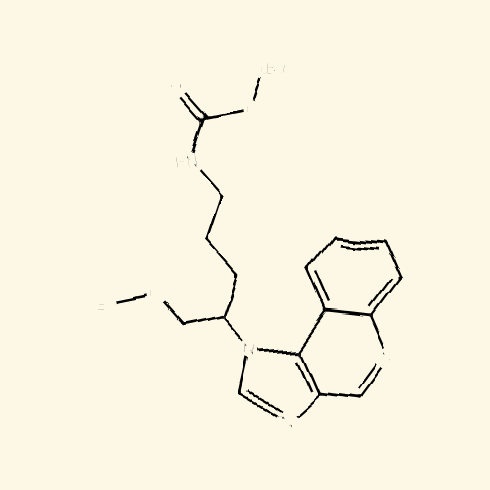 CCOCC(CCCNC(=O)OC(C)(C)C)n1cnc2cnc3ccccc3c21